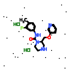 Cc1ccc(NC(=O)N2CCNCC2COc2cccnc2)cc1F.Cl.Cl